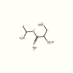 CC(N)OC(=O)C(CC(=O)[O-])S(=O)(=O)O.[Na+]